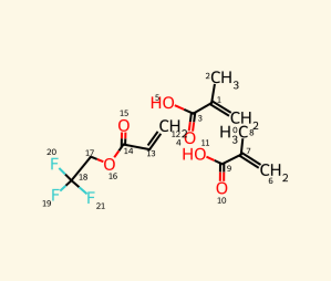 C=C(C)C(=O)O.C=C(C)C(=O)O.C=CC(=O)OCC(F)(F)F